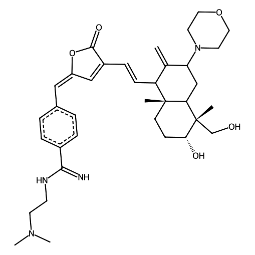 C=C1C(N2CCOCC2)CC2[C@](C)(CC[C@@H](O)[C@@]2(C)CO)C1/C=C/C1=CC(=C\c2ccc(C(=N)NCCN(C)C)cc2)/OC1=O